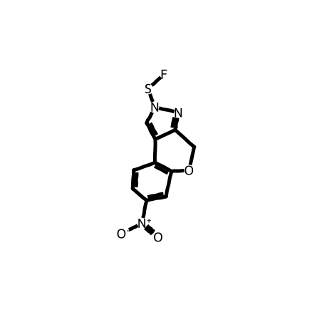 O=[N+]([O-])c1ccc2c(c1)OCc1nn(SF)cc1-2